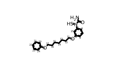 NC(=O)N(S)c1cccc(OCCCCCCCOc2ccccc2)c1